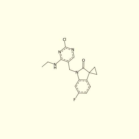 CCNc1nc(Cl)ncc1CN1C(=O)C2(CC2)c2ccc(F)cc21